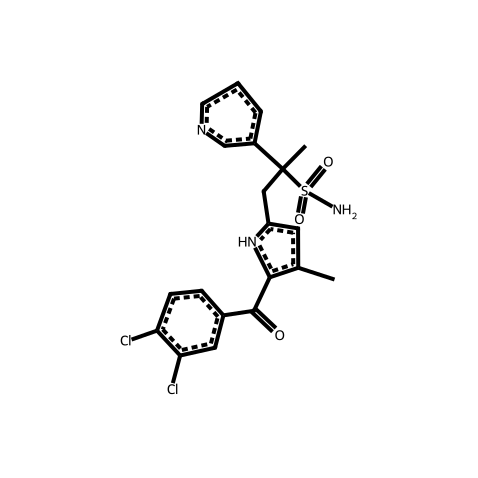 Cc1cc(CC(C)(c2cccnc2)S(N)(=O)=O)[nH]c1C(=O)c1ccc(Cl)c(Cl)c1